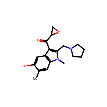 Cn1c(CN2CCCC2)c(C(=O)C2CO2)c2cc(O)c(C#N)cc21